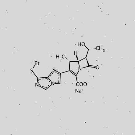 CCSc1ncn2cc(C3=C(C(=O)[O-])N4C(=O)[C@H]([C@@H](C)O)[C@H]4[C@H]3C)sc12.[Na+]